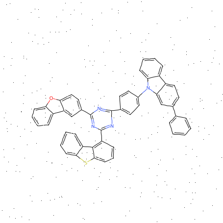 c1ccc(-c2ccc3c4ccccc4n(-c4ccc(-c5nc(-c6ccc7oc8ccccc8c7c6)nc(-c6cccc7sc8ccccc8c67)n5)cc4)c3c2)cc1